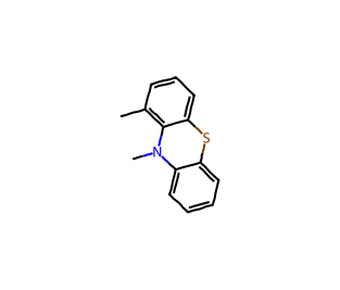 Cc1cccc2c1N(C)c1ccccc1S2